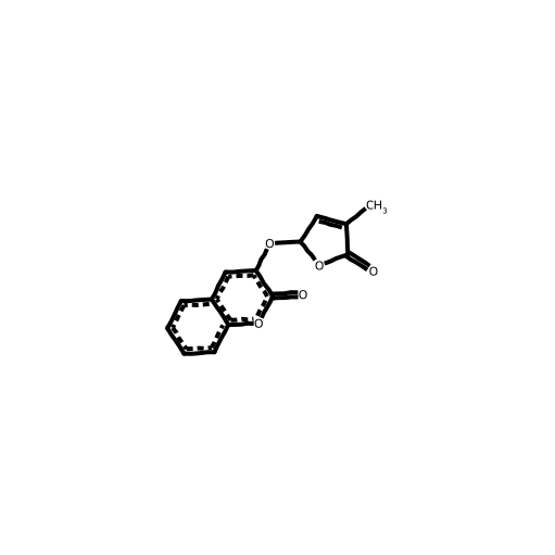 CC1=CC(Oc2cc3ccccc3oc2=O)OC1=O